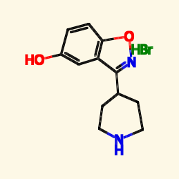 Br.Oc1ccc2onc(C3CCNCC3)c2c1